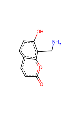 NCc1c(O)ccc2ccc(=O)oc12